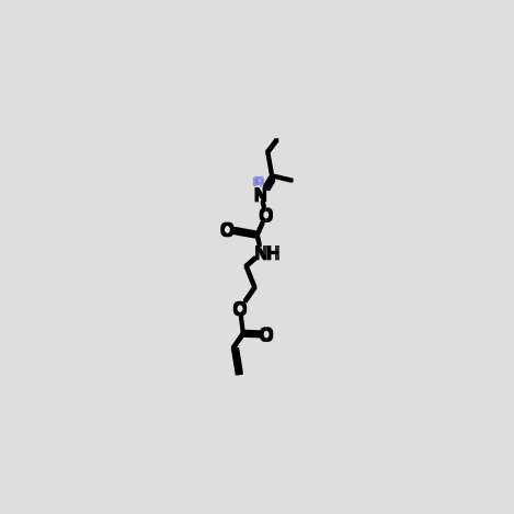 C=CC(=O)OCCNC(=O)O/N=C(\C)CC